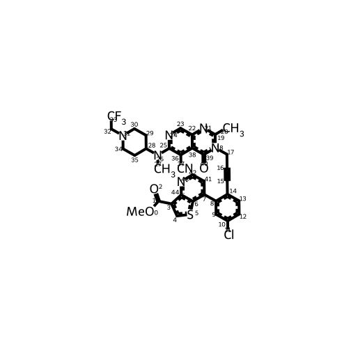 COC(=O)c1csc2c(-c3cc(Cl)ccc3C#CCn3c(C)nc4cnc(N(C)C5CCN(CC(F)(F)F)CC5)c(C#N)c4c3=O)ccnc12